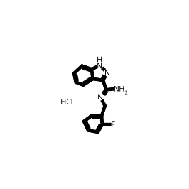 Cl.NC(=NCc1ccccc1F)c1n[nH]c2ccccc12